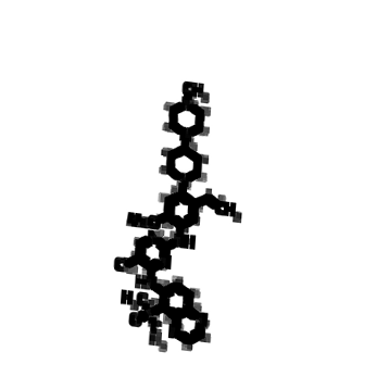 C=Cc1cc(Nc2ncc(Cl)c(Nc3ccc4nccnc4c3P(C)(C)=O)n2)c(OC)cc1N1CCC(N2CCN(C)CC2)CC1